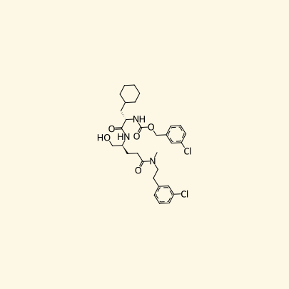 CN(CCc1cccc(Cl)c1)C(=O)CC[C@@H](CO)NC(=O)[C@H](CC1CCCCC1)NC(=O)OCc1cccc(Cl)c1